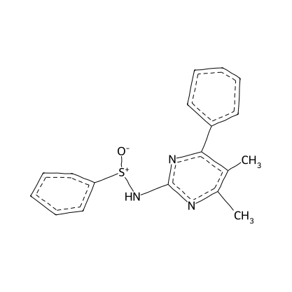 Cc1nc(N[S+]([O-])c2ccccc2)nc(-c2ccccc2)c1C